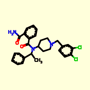 CC(c1ccccc1)N(C(=O)c1ccccc1C(N)=O)C1CCN(Cc2ccc(Cl)c(Cl)c2)CC1